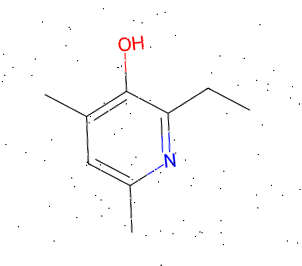 CCc1nc(C)cc(C)c1O